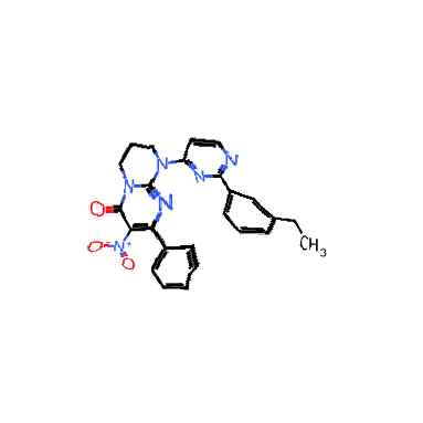 CCc1cccc(-c2nccc(N3CCCn4c3nc(-c3ccccc3)c([N+](=O)[O-])c4=O)n2)c1